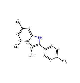 Cc1ccc(-c2[nH]c3cc(C)cc(C)c3c2C=O)cc1